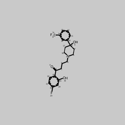 O=C(CCCN1CCC(O)(c2cccc(C(F)(F)F)c2)CC1)c1ccc(F)cc1O